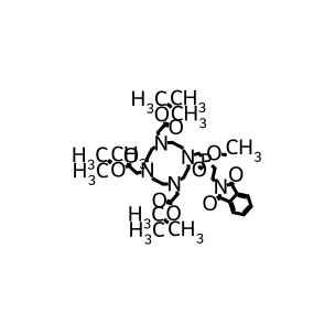 CCOP(=O)(CCN1C(=O)c2ccccc2C1=O)CN1CCN(CC(=O)OC(C)(C)C)CCN(CC(=O)OC(C)(C)C)CCN(CC(=O)OC(C)(C)C)CC1